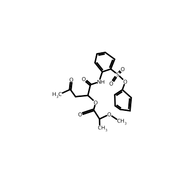 COC(C)C(=O)OC(CC(C)=O)C(=O)Nc1ccccc1S(=O)(=O)Oc1ccccc1